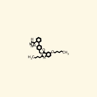 CCCCCOc1ccc2nc(CCCC)n(Cc3ccc(-c4ccccc4-c4nnn[nH]4)cc3)c(=O)c2c1